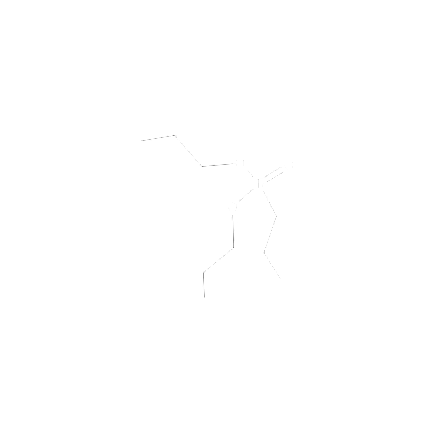 CCC[O][Ti](=[O])([CH2]CC)[O]CCC